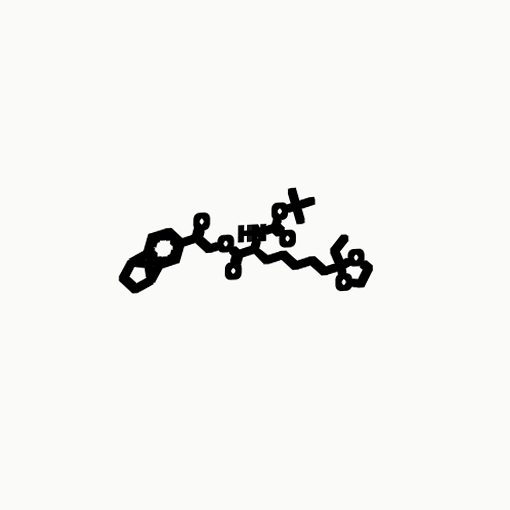 CCC1(CCCCC[C@H](NC(=O)OC(C)(C)C)C(=O)OCC(=O)c2ccc3c(c2)C2CCC3C2)OCCO1